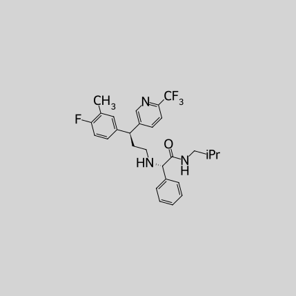 Cc1cc([C@H](CCN[C@H](C(=O)NCC(C)C)c2ccccc2)c2ccc(C(F)(F)F)nc2)ccc1F